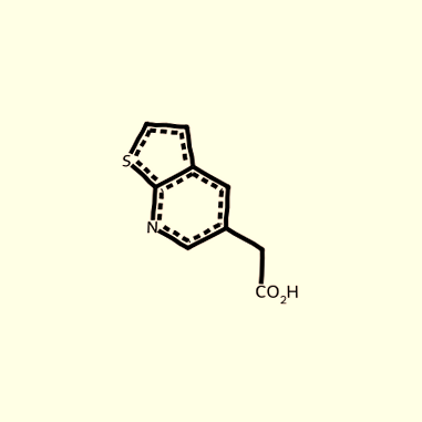 O=C(O)Cc1cnc2sccc2c1